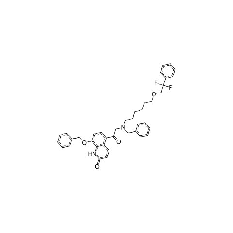 O=C(CN(CCCCCCOCC(F)(F)c1ccccc1)Cc1ccccc1)c1ccc(OCc2ccccc2)c2[nH]c(=O)ccc12